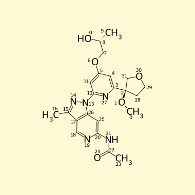 CO[C@]1(c2cc(OC[C@@H](C)O)cc(-n3nc(C)c4cnc(NC(C)=O)cc43)n2)CCOC1